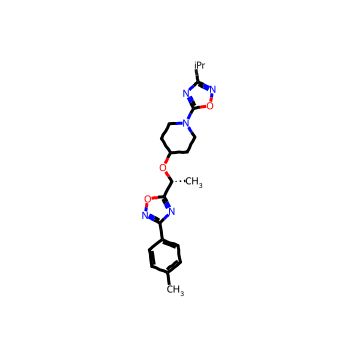 Cc1ccc(-c2noc([C@@H](C)OC3CCN(c4nc(C(C)C)no4)CC3)n2)cc1